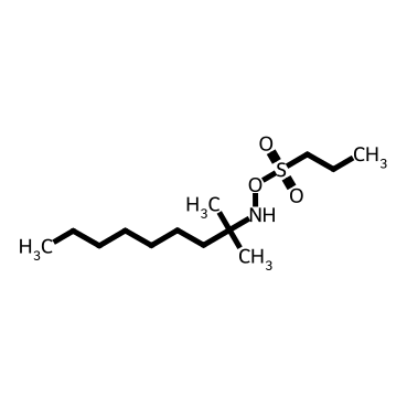 CCCCCCCC(C)(C)NOS(=O)(=O)CCC